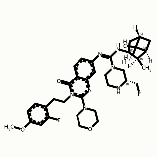 COc1ccc(CCn2c(N3CCOCC3)nc3cc(N=C(N[C@H]4C[C@@H]5C[C@@H]([C@H]4C)C5(C)C)N4CCN[C@@H](CF)C4)ccc3c2=O)c(F)c1